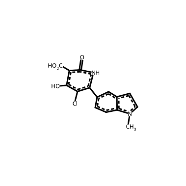 Cn1ccc2cc(-c3[nH]c(=O)c(C(=O)O)c(O)c3Cl)ccc21